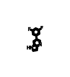 Fc1cc(F)cc(-c2cnc3cc[nH]c3c2)c1